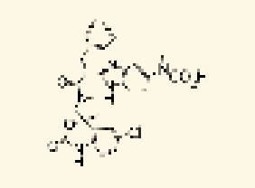 CN(C(=O)O)c1ccc2[nH]c([C@H](Cc3ccccc3)C(=O)N3CC[C@]4(C3)OC(=O)Nc3ccc(Cl)cc34)nc2c1